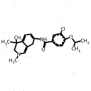 CC(C)Oc1ccc(C(=O)NC2=CC=C3C(=CN(C)CC3(C)C)C2)cc1Cl